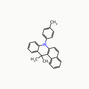 Cc1ccc(N2c3ccccc3C(C)(C)c3c2ccc2ccccc32)cc1